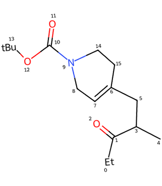 CCC(=O)C(C)CC1=CCN(C(=O)OC(C)(C)C)CC1